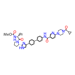 COC(=O)N[C@H](C(=O)N1CCC[C@H]1c1nc(-c2ccc(-c3ccc(NC(=O)c4ccc(N5CCN(C(=O)C6CC6)CC5)nc4)cc3)cc2)c[nH]1)C(C)C